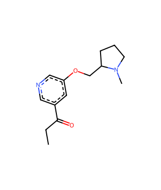 CCC(=O)c1cncc(OCC2CCCN2C)c1